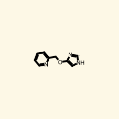 [c]1nc(OCc2ccccn2)c[nH]1